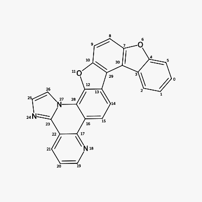 c1ccc2c(c1)oc1ccc3oc4c(ccc5c6ncccc6c6nccn6c54)c3c12